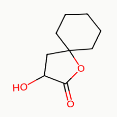 O=C1OC2(CCCCC2)CC1O